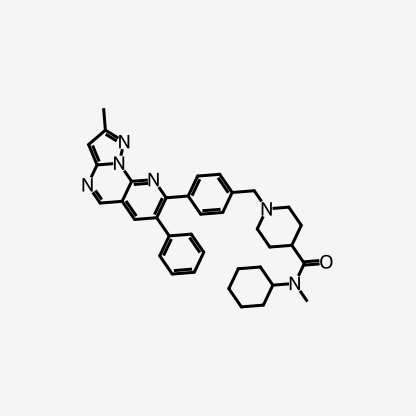 Cc1cc2ncc3cc(-c4ccccc4)c(-c4ccc(CN5CCC(C(=O)N(C)C6CCCCC6)CC5)cc4)nc3n2n1